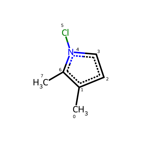 Cc1ccn(Cl)c1C